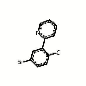 Clc1ccc(Br)cc1-c1ccccn1